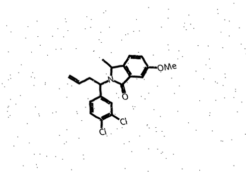 C=CCC(c1ccc(Cl)c(Cl)c1)N1C(=O)c2cc(OC)ccc2C1C